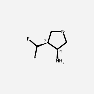 N[C@@H]1C[N]C[C@@H]1C(F)F